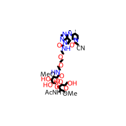 CO[C@@H]1OC(CO)[C@@H](O)C(O[C@@H]2OC(C(=O)NCCOCCOCCNC(=O)n3ccc4c(N(C)[C@H]5CN(C(=O)CC#N)CC[C@H]5C)ncnc43)[C@@H](OC)C(O)C2O)C1NC(C)=O